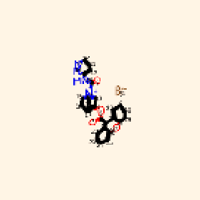 O=C(OC1C[N+]2(C(=O)Nc3cccnn3)CCC1CC2)C1c2ccccc2Oc2ccccc21.[Br-]